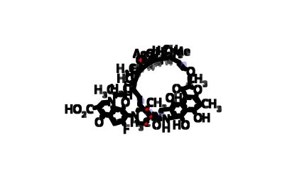 CO[C@H]1/C=C/O[C@@]2(C)Oc3c(C)c(O)c4c(O)c(c(/C=N/N5CCN(c6c(F)cc7c(=O)c(C(=O)O)cn8c7c6OCC8C)CC5C)c(O)c4c3C2=O)NC(=O)/C(C)=C\C=C\[C@H](C)[C@H](O)[C@@H](C)[C@@H](O)[C@@H](C)[C@H](OC(C)=O)[C@@H]1C